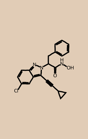 O=C(NO)C(Cc1ccccc1)n1nc2ccc(Cl)cc2c1C#CC1CC1